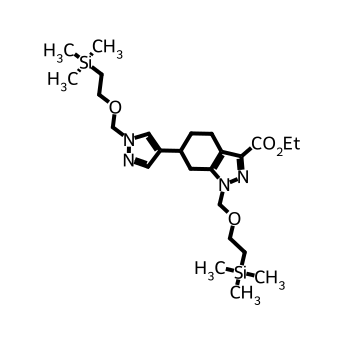 CCOC(=O)c1nn(COCC[Si](C)(C)C)c2c1CCC(c1cnn(COCC[Si](C)(C)C)c1)C2